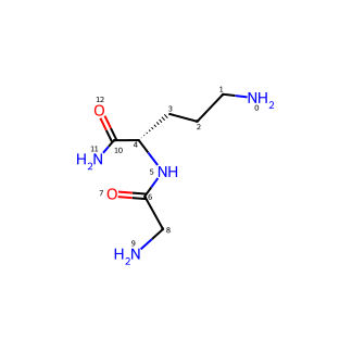 NCCC[C@H](NC(=O)CN)C(N)=O